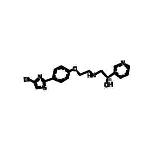 CCc1csc(-c2ccc(OCCNC[C@H](O)c3cccnc3)cc2)n1